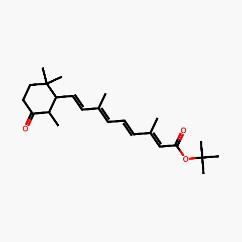 CC(/C=C/C1C(C)C(=O)CCC1(C)C)=C\C=C\C(C)=C\C(=O)OC(C)(C)C